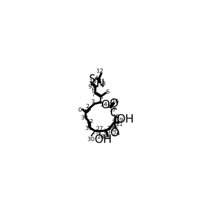 C/C1=C/C[C@@H](/C(C)=C/c2csc(C)n2)OC(=O)C[C@H](O)C(C)(C)C(=O)C(C)[C@@H](O)[C@@H](C)/C=C/C1